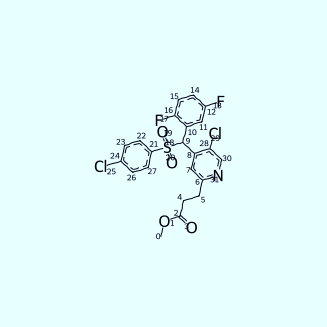 COC(=O)CCc1cc(C(c2cc(F)ccc2F)S(=O)(=O)c2ccc(Cl)cc2)c(Cl)cn1